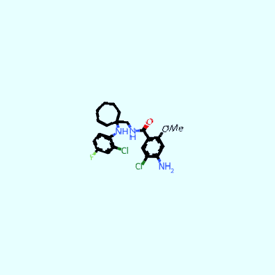 COc1cc(N)c(Cl)cc1C(=O)NCC1(Nc2ccc(F)cc2Cl)CCCCCC1